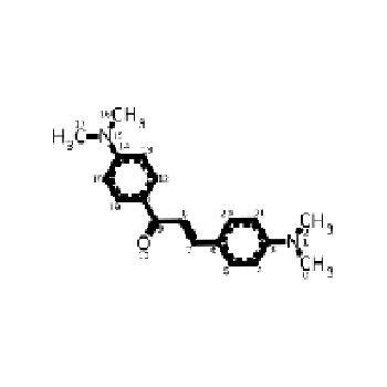 CN(C)c1ccc(/C=C/C(=O)c2ccc(N(C)C)cc2)cc1